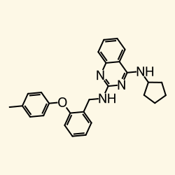 Cc1ccc(Oc2ccccc2CNc2nc(NC3CCCC3)c3ccccc3n2)cc1